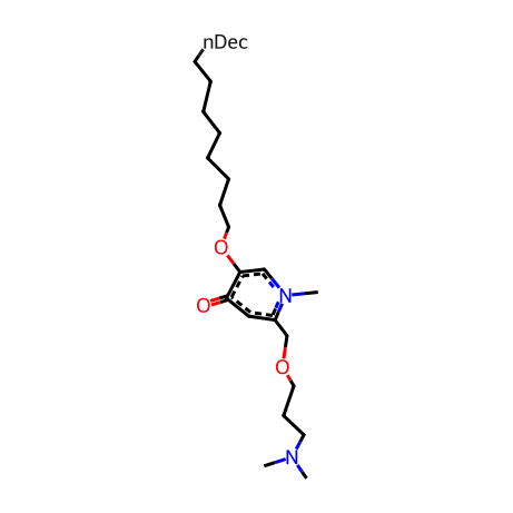 CCCCCCCCCCCCCCCCCCOc1cn(C)c(COCCCN(C)C)cc1=O